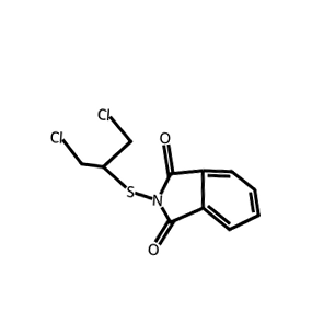 O=C1c2ccccc2C(=O)N1SC(CCl)CCl